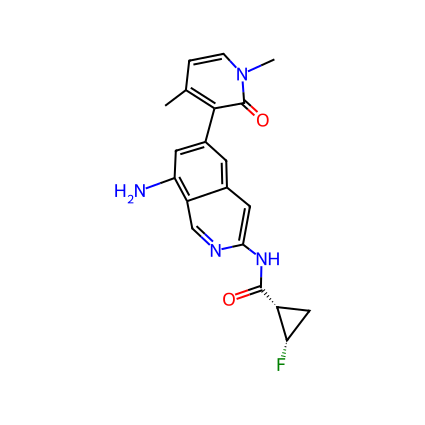 Cc1ccn(C)c(=O)c1-c1cc(N)c2cnc(NC(=O)[C@@H]3C[C@@H]3F)cc2c1